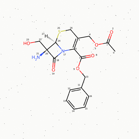 CC(=O)OCC1=C(C(=O)OCc2ccccc2)N2C(=O)[C@](N)(CO)[C@H]2SC1